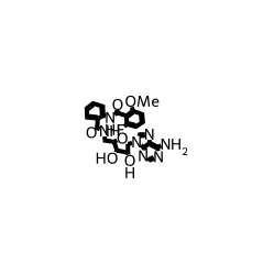 COc1cccc(F)c1C(=O)Nc1ccccc1C(=O)NCC1OC(n2cnc3c(N)ncnc32)C(O)C1O